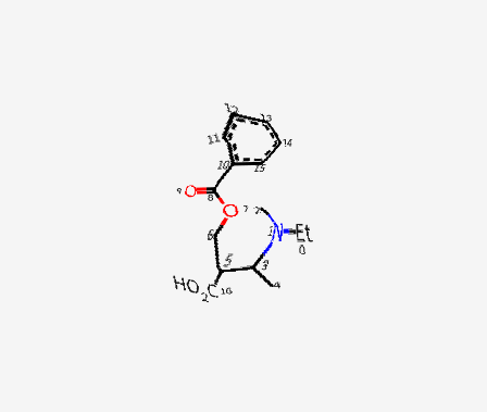 CCN(C)C(C)C(COC(=O)c1ccccc1)C(=O)O